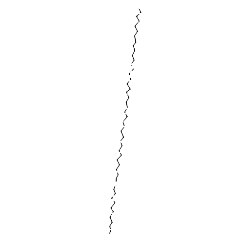 O=C(O)CCCCCCCCCCCCCCCCCCCCCCCCCCCCCCCCCCCCCCCCCCCCCCCO